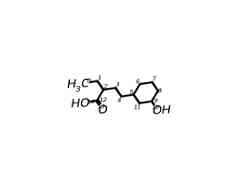 CCC(CCC1CCCC(O)C1)C(=O)O